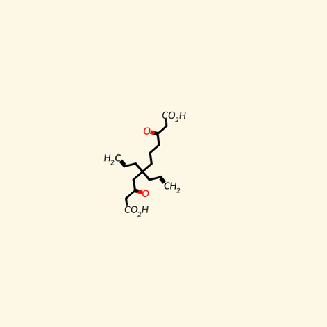 C=CCC(CC=C)(CCCC(=O)CC(=O)O)CC(=O)CC(=O)O